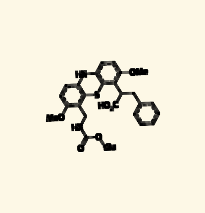 COc1ccc2c(c1CNC(=O)OC(C)(C)C)Sc1c(ccc(OC)c1C(Cc1ccccc1)C(=O)O)N2